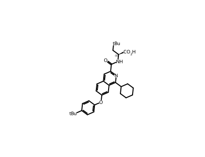 CC(C)(C)C[C@H](NC(=O)c1cc2ccc(Oc3ccc(C(C)(C)C)cc3)cc2c(C2CCCCC2)n1)C(=O)O